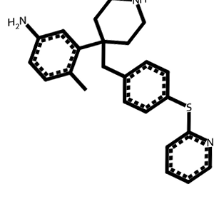 Cc1ccc(N)cc1C1(Cc2ccc(Sc3ccccn3)cc2)CCNCC1